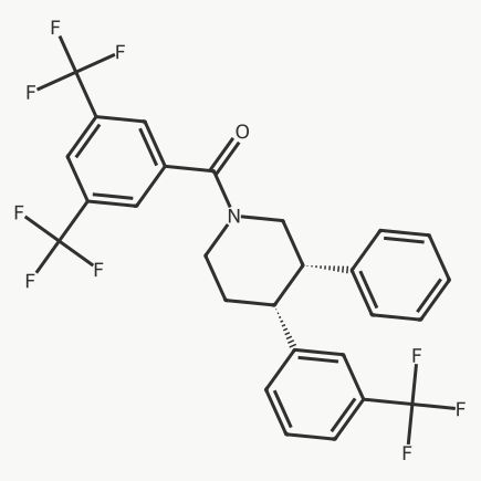 O=C(c1cc(C(F)(F)F)cc(C(F)(F)F)c1)N1CC[C@@H](c2cccc(C(F)(F)F)c2)[C@@H](c2ccccc2)C1